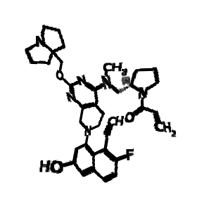 C#Cc1c(F)ccc2cc(O)cc(N3CCc4c(nc(OCC56CCCN5CCC6)nc4N(C)C[C@@H]4CCCN4C(=O)C=C)C3)c12